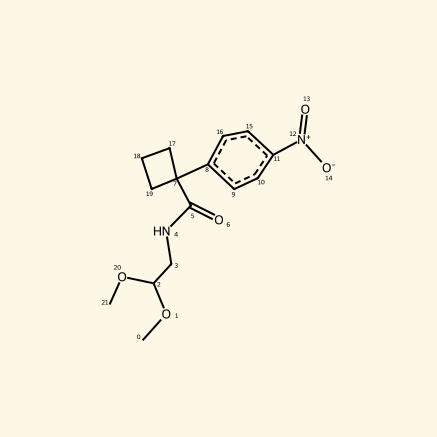 COC(CNC(=O)C1(c2ccc([N+](=O)[O-])cc2)CCC1)OC